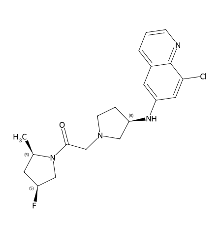 C[C@@H]1C[C@H](F)CN1C(=O)CN1CC[C@@H](Nc2cc(Cl)c3ncccc3c2)C1